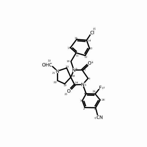 N#Cc1ccc(N2CC(=O)N(Cc3ccc(Cl)cc3)C3(CCN(C=O)C3)C2=O)c(F)c1